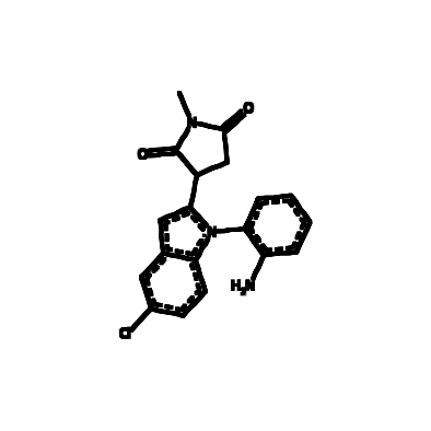 CN1C(=O)CC(c2cc3cc(Cl)ccc3n2-c2ccccc2N)C1=O